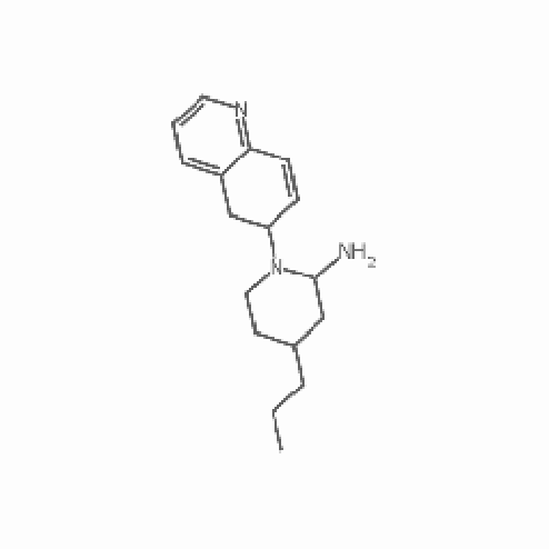 CCCC1CCN(C2C=Cc3ncccc3C2)C(N)C1